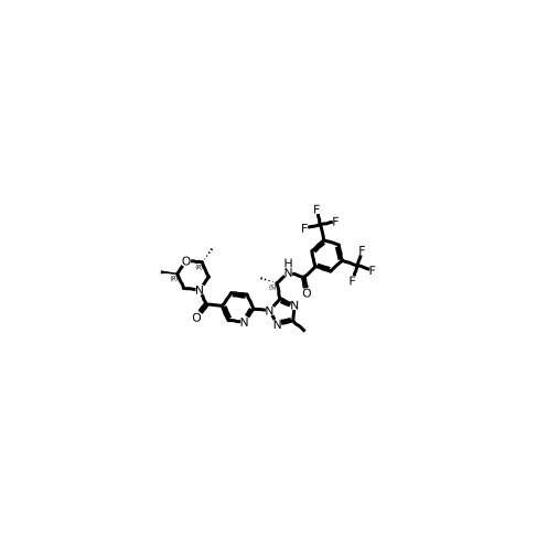 Cc1nc([C@H](C)NC(=O)c2cc(C(F)(F)F)cc(C(F)(F)F)c2)n(-c2ccc(C(=O)N3C[C@@H](C)O[C@H](C)C3)cn2)n1